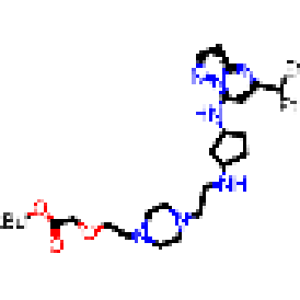 CCC(CC)c1cc(N[C@H]2CC[C@H](NCCN3CCN(CCOCC(=O)OC(C)(C)C)CC3)C2)n2nccc2n1